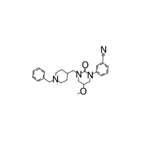 COC1CN(CC2CCN(Cc3ccccc3)CC2)C(=O)N(c2cccc(C#N)c2)C1